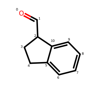 O=CC1[CH]Cc2ccccc21